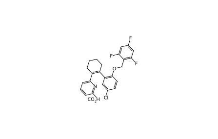 O=C(O)c1cccc(C2=C(c3cc(Cl)ccc3OCc3c(F)cc(F)cc3F)CCCC2)n1